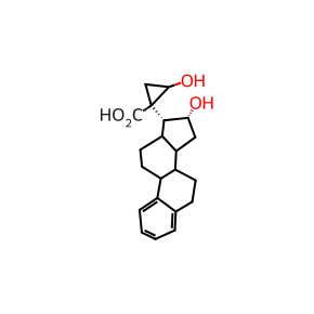 O=C(O)C1([C@H]2C3CCC4c5ccccc5CCC4C3C[C@H]2O)CC1O